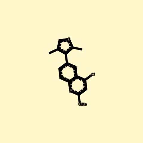 COc1cc(Cl)c2cc(-c3c(C)coc3C)ccc2n1